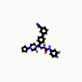 C[C@@H]1CN(C2CCCC2)CCN1[C@H](CNC(=O)Nc1ccc(F)c(F)c1)c1ccc(-c2cccc(C#N)c2)cc1